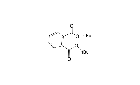 CC(C)(C)OC(=O)c1[c]cccc1C(=O)OC(C)(C)C